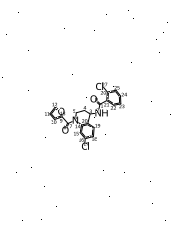 O=C(NC1CCN(C(=O)c2ccco2)c2cc(Cl)ccc21)c1ccccc1Cl